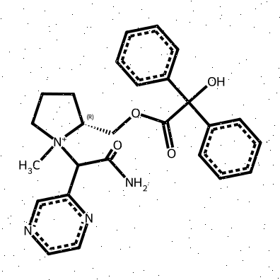 C[N+]1(C(C(N)=O)c2cnccn2)CCC[C@@H]1COC(=O)C(O)(c1ccccc1)c1ccccc1